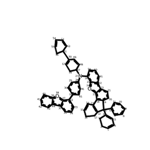 C1=CCCC(C2(c3ccccc3)C3=C(C=CCC3)c3c2ccc2c3oc3c(N(c4ccc(-c5cccc6c5oc5ccccc56)cc4)C4C=CC(C5C=CC=CC5)=CC4)cccc32)=C1